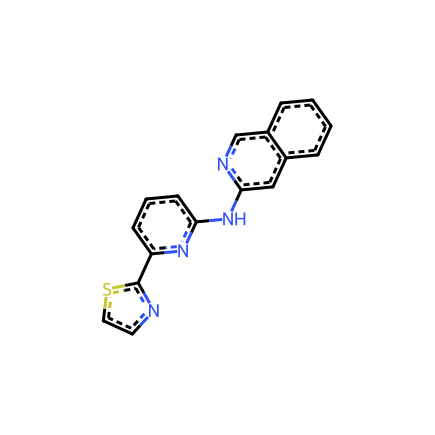 c1cc(Nc2cc3ccccc3cn2)nc(-c2nccs2)c1